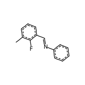 Cc1cccc(C=Nc2ccccc2)c1F